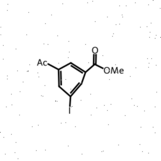 COC(=O)c1cc(I)cc(C(C)=O)c1